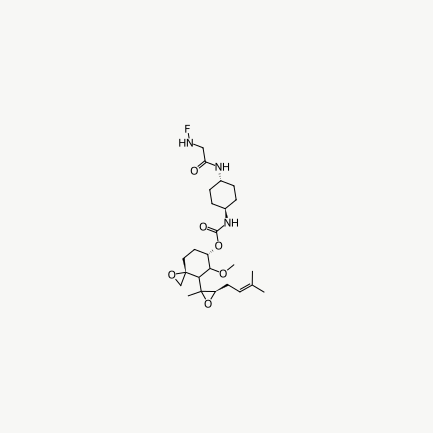 COC1C(C2(C)O[C@@H]2CC=C(C)C)[C@]2(CC[C@@H]1OC(=O)N[C@H]1CC[C@H](NC(=O)CNF)CC1)CO2